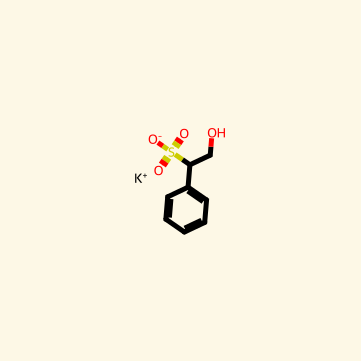 O=S(=O)([O-])C(CO)c1ccccc1.[K+]